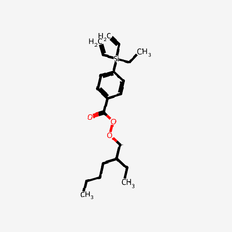 C=C[Si](C=C)(CC)c1ccc(C(=O)OO[CH]C(CC)CCCC)cc1